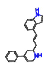 C(=Cc1cccc2[nH]ccc12)CC1CC(c2ccccc2)=CCN1